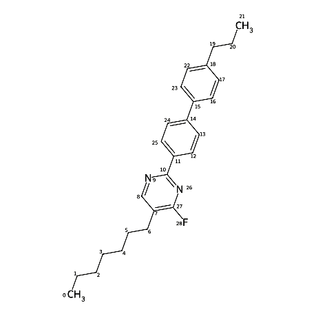 CCCCCCCc1cnc(-c2ccc(-c3ccc(CCC)cc3)cc2)nc1F